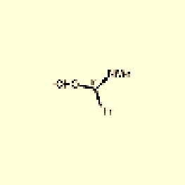 CN[C@H]([C]=O)C(C)C